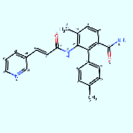 Cc1ccc(-c2c(C(N)=O)ccc(C)c2NC(=O)C=Cc2cccnc2)cc1